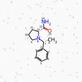 C[C@H](c1ccccc1)N1CCC[C@@H]1C(N)=O